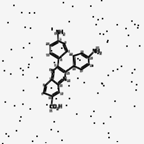 Nc1ccc(-c2nc3ccc(C(=O)O)cc3nc2-c2ccc(N)cc2)cc1